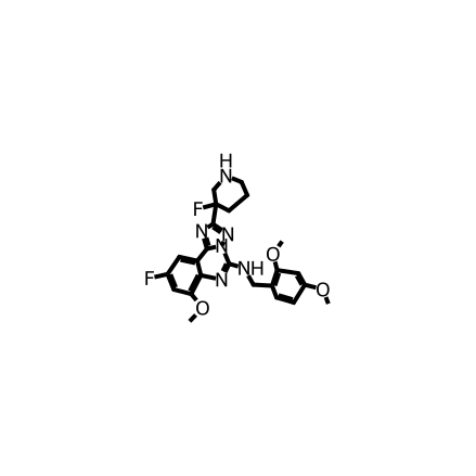 COc1ccc(CNc2nc3c(OC)cc(F)cc3c3nc(C4(F)CCCNC4)nn23)c(OC)c1